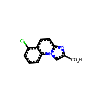 O=C(O)c1cn2c(ccc3c(Cl)cccc32)n1